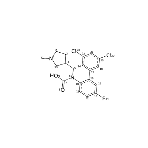 CN1CCC(CN(C(=O)O)c2ccc(F)cc2-c2cc(Cl)cc(Cl)c2)C1